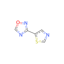 c1nc(-c2cncs2)no1